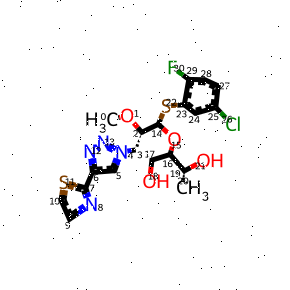 CO[C@@H](Cn1cc(-c2nccs2)nn1)C(OC(CO)[C@@H](C)O)Sc1cc(Cl)ccc1F